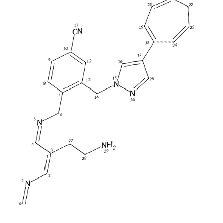 C=N/C=C(\C=N/Cc1ccc(C#N)cc1Cn1cc(C2=CC=CCC=C2)cn1)CCN